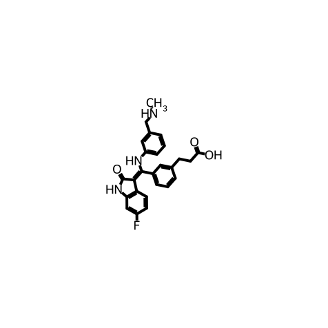 CNCc1cccc(N/C(=C2\C(=O)Nc3cc(F)ccc32)c2cccc(CCC(=O)O)c2)c1